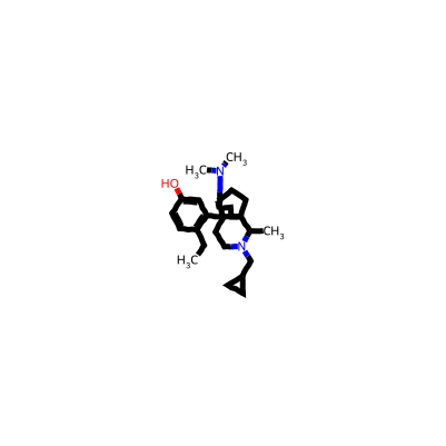 CCc1ccc(O)cc1C12CCN(CC3CC3)C(C)C13CCC(N(C)C)C2CC3